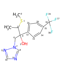 CSC(C)C(O)(Cn1cncn1)c1ccc(C(F)(F)F)cc1